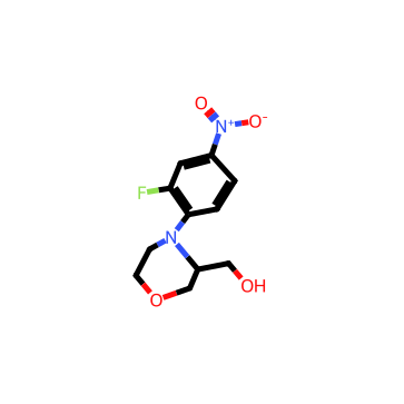 O=[N+]([O-])c1ccc(N2CCOCC2CO)c(F)c1